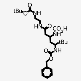 CC(C)(C)OC(=O)NCCNC(=O)CC(CC(NC(=O)OCc1ccccc1)C(C)(C)C)NC(=O)O